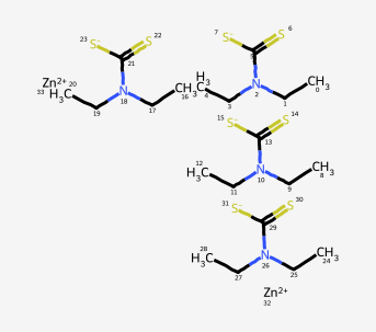 CCN(CC)C(=S)[S-].CCN(CC)C(=S)[S-].CCN(CC)C(=S)[S-].CCN(CC)C(=S)[S-].[Zn+2].[Zn+2]